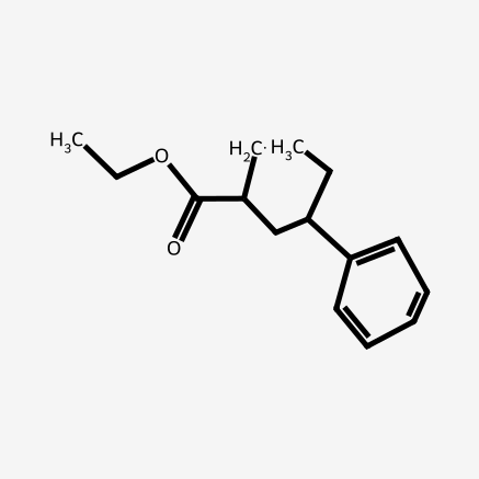 [CH2]C(CC(CC)c1ccccc1)C(=O)OCC